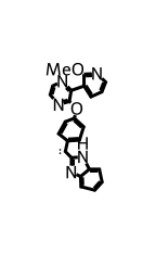 COc1ncccc1-c1nccnc1Oc1ccc([C]c2nc3ccccc3[nH]2)cc1